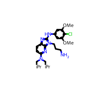 COc1cc(Nc2nc3ccc(N(CC(C)C)CC(C)C)nc3n2CCCN)cc(OC)c1Cl